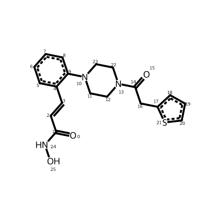 O=C(C=Cc1ccccc1N1CCN(C(=O)Cc2cccs2)CC1)NO